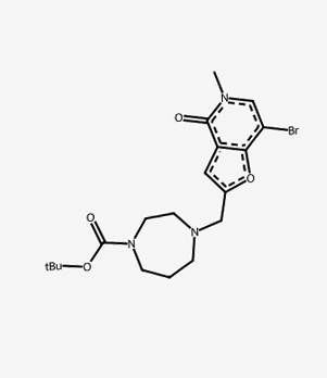 Cn1cc(Br)c2oc(CN3CCCN(C(=O)OC(C)(C)C)CC3)cc2c1=O